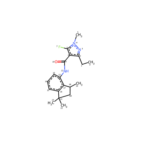 CCc1nn(C)c(F)c1C(=O)Nc1cccc2c1C(C)CC2(C)C